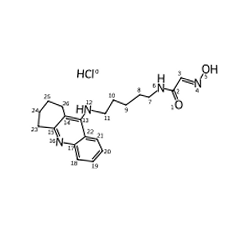 Cl.O=C(/C=N/O)NCCCCCNc1c2c(nc3ccccc13)CCCC2